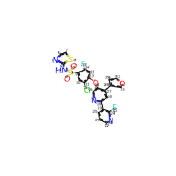 O=S(=O)(Nc1nccs1)c1cc(Cl)c(Oc2cnc(-c3cccnc3F)cc2-c2ccoc2)cc1F